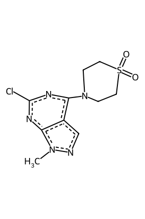 Cn1ncc2c(N3CCS(=O)(=O)CC3)nc(Cl)nc21